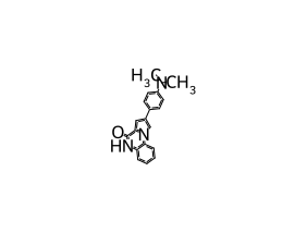 CN(C)c1ccc(-c2cc3c(=O)[nH]c4ccccc4n3c2)cc1